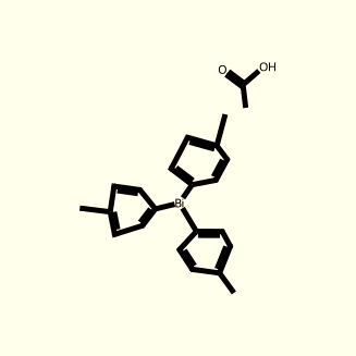 CC(=O)O.Cc1cc[c]([Bi]([c]2ccc(C)cc2)[c]2ccc(C)cc2)cc1